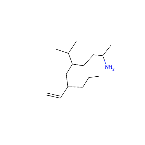 C=CC(CCC)CC(CCC(C)N)C(C)C